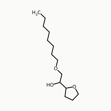 CCCCCCCCOCC(O)C1CCCO1